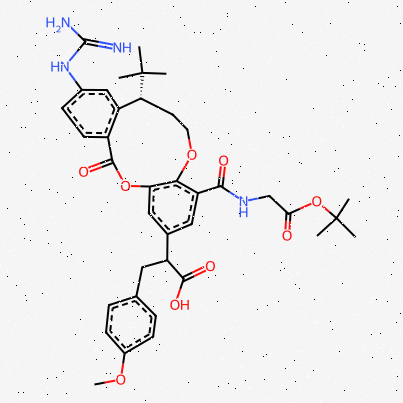 COc1ccc(CC(C(=O)O)c2cc3c(c(C(=O)NCC(=O)OC(C)(C)C)c2)OCC[C@@H](C(C)(C)C)c2cc(NC(=N)N)ccc2C(=O)O3)cc1